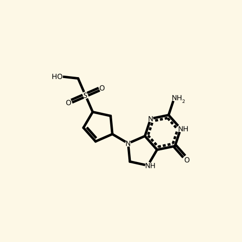 Nc1nc2c(c(=O)[nH]1)NCN2C1C=CC(S(=O)(=O)CO)C1